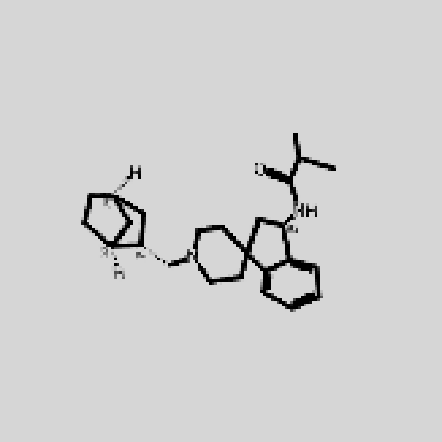 CC(C)C(=O)N[C@@H]1CC2(CCN(C[C@H]3C[C@@H]4CC[C@H]3C4)CC2)c2ccccc21